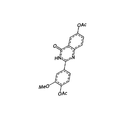 COc1cc(-c2nc3ccc(OC(C)=O)cc3c(=O)[nH]2)ccc1OC(C)=O